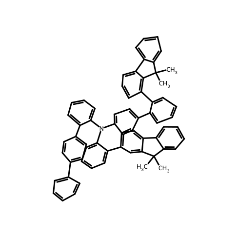 CC1(C)c2ccccc2-c2ccc(-c3ccccc3N(c3ccc(-c4ccccc4-c4cccc5c4C(C)(C)c4ccccc4-5)cc3)c3ccccc3-c3ccc(-c4ccccc4)cc3)cc21